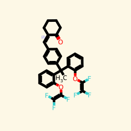 CC(c1ccc(/C=C2/CCCCC2=O)cc1)(c1ccccc1OC(F)=C(F)F)c1ccccc1OC(F)=C(F)F